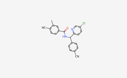 Cc1cc(C(=O)NC(c2ccc(C#N)cc2)c2ccc(Cl)cn2)ccc1C#N